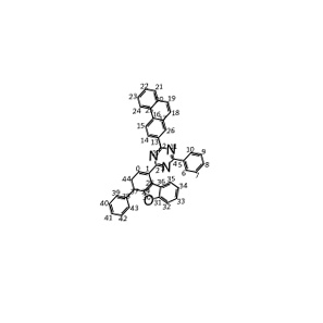 C1=C(c2nc(-c3ccccc3)nc(-c3ccc4c(ccc5ccccc54)c3)n2)c2c(oc3ccccc23)C(c2ccccc2)C1